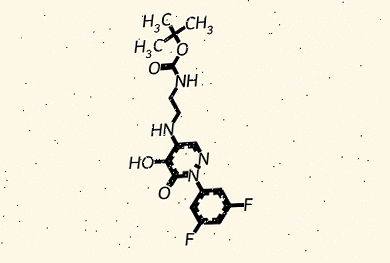 CC(C)(C)OC(=O)NCCNc1cnn(-c2cc(F)cc(F)c2)c(=O)c1O